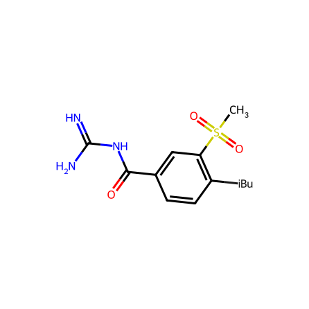 CCC(C)c1ccc(C(=O)NC(=N)N)cc1S(C)(=O)=O